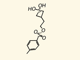 Cc1ccc(S(=O)(=O)OCCC2CS(O)(O)C2)cc1